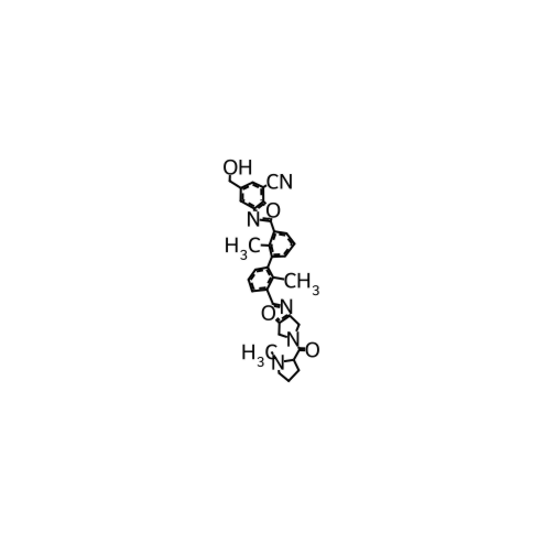 Cc1c(-c2nc3c(o2)CN(C(=O)C2CCCN2C)C3)cccc1-c1cccc(-c2nc3cc(CO)cc(C#N)c3o2)c1C